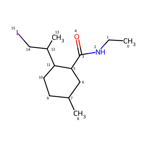 CCNC(=O)C1CC(C)CCC1C(C)CI